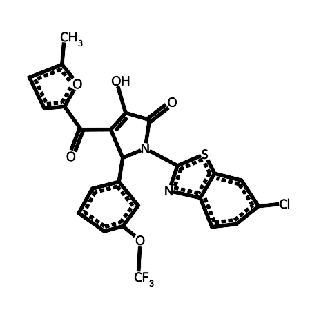 Cc1ccc(C(=O)C2=C(O)C(=O)N(c3nc4ccc(Cl)cc4s3)C2c2cccc(OC(F)(F)F)c2)o1